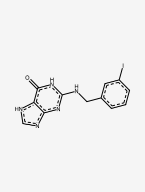 O=c1[nH]c(NCc2cccc(I)c2)nc2nc[nH]c12